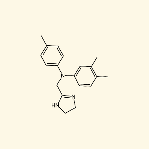 Cc1ccc(N(CC2=NCCN2)c2ccc(C)c(C)c2)cc1